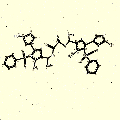 CNC(OC(=O)C(=O)OC(NC)c1cc(-c2cnn(C)c2)n(S(=O)(=O)c2ccccc2)c1C)c1cc(-c2cnn(C)c2)n(S(=O)(=O)c2ccccc2)c1C